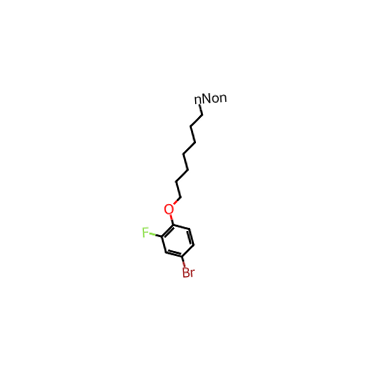 CCCCCCCCCCCCCCCCOc1ccc(Br)cc1F